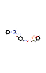 Nc1cn(-c2ccccc2)nc1NC(=O)c1ccc(CNC(=O)OCC2=Cc3ccccc3S2(O)O)cc1